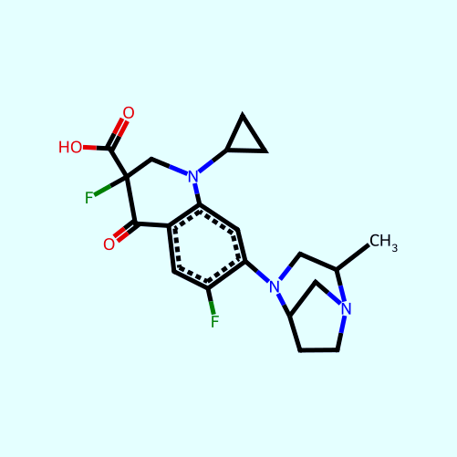 CC1CN(c2cc3c(cc2F)C(=O)C(F)(C(=O)O)CN3C2CC2)C2CCN1C2